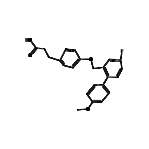 COc1ccc(-c2ccc(F)cc2COc2ccc(CCC(=O)O)cc2)cc1